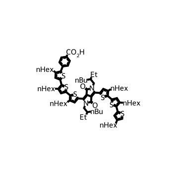 CCCCCCc1csc(-c2sc(-c3sc(C4=C5C(=O)N(CC(CC)CCCC)C(c6cc(CCCCCC)c(-c7cc(CCCCCC)c(-c8cc(CCCCCC)c(-c9ccc(C(=O)O)cc9)s8)s7)s6)=C5C(=O)N4CC(CC)CCCC)cc3CCCCCC)cc2CCCCCC)c1